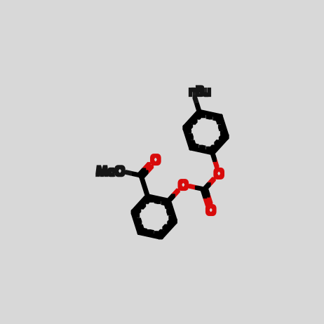 CCCCc1ccc(OC(=O)Oc2ccccc2C(=O)OC)cc1